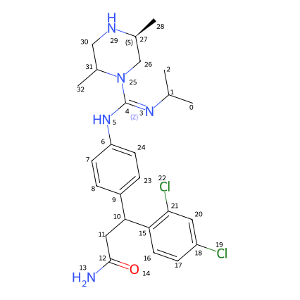 CC(C)/N=C(/Nc1ccc(C(CC(N)=O)c2ccc(Cl)cc2Cl)cc1)N1C[C@H](C)NCC1C